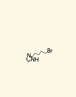 BrCCCCc1ncc[nH]1